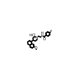 COc1ccc2c(c1)C(C1CCN(CCNC(=O)c3ccc(F)cc3)CC1)=CCC2.Cl